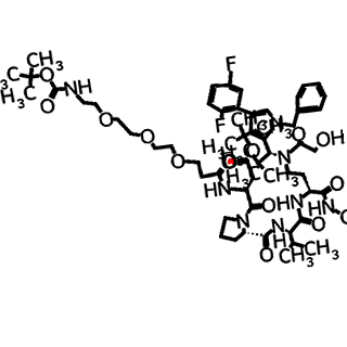 CNC(=O)[C@H](CCN(C(=O)CO)[C@@H](c1cc(-c2cc(F)ccc2F)cn1Cc1ccccc1)C(C)(C)C)NC(=O)[C@@H](NC(=O)[C@@H]1CCCN1C(=O)[C@H](CC(=O)OC(C)(C)C)NC(=O)CCOCCOCCOCCNC(=O)OC(C)(C)C)C(C)C